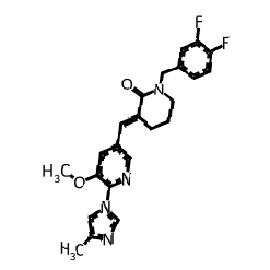 COc1cc(/C=C2\CCCN(Cc3ccc(F)c(F)c3)C2=O)cnc1-n1cnc(C)c1